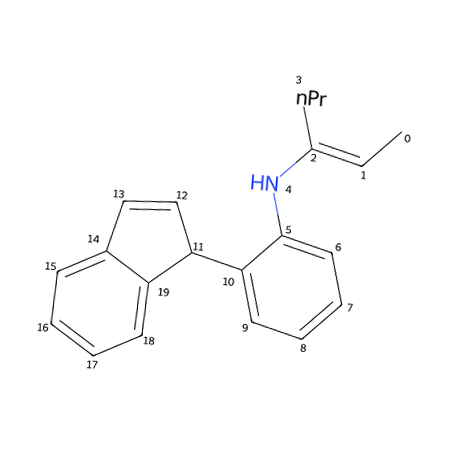 CC=C(CCC)Nc1ccccc1C1C=Cc2ccccc21